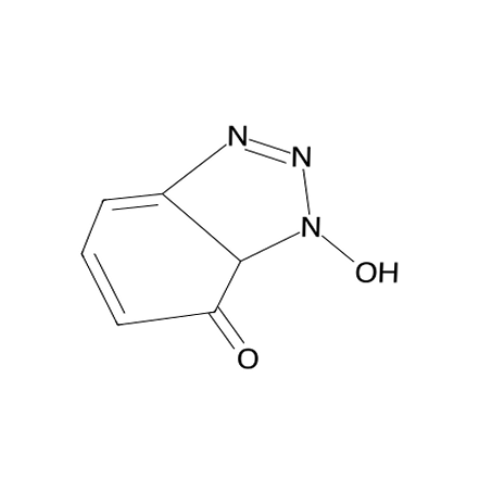 O=C1C=CC=C2N=NN(O)C12